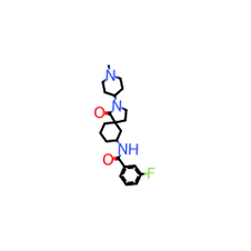 CN1CCC(N2CCC3(CCCC(NC(=O)c4cccc(F)c4)C3)C2=O)CC1